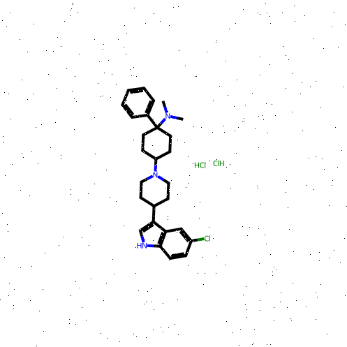 CN(C)C1(c2ccccc2)CCC(N2CCC(c3c[nH]c4ccc(Cl)cc34)CC2)CC1.Cl.Cl